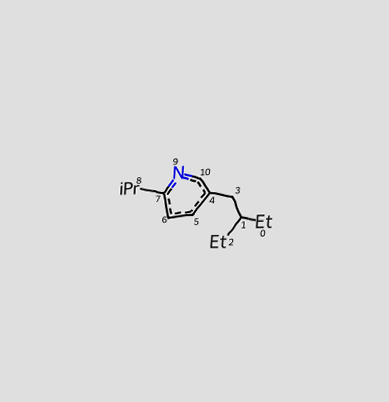 CCC(CC)Cc1ccc(C(C)C)nc1